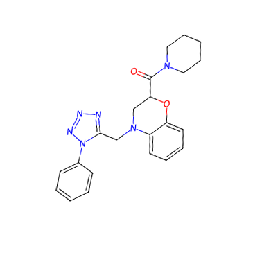 O=C(C1CN(Cc2nnnn2-c2ccccc2)c2ccccc2O1)N1CCCCC1